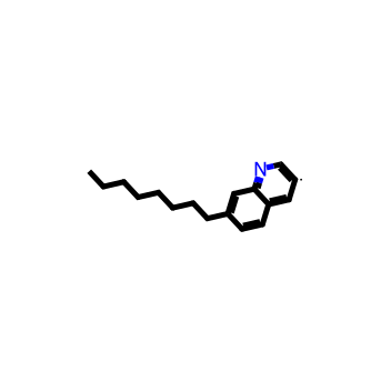 CCCCCCCCc1ccc2c[c]cnc2c1